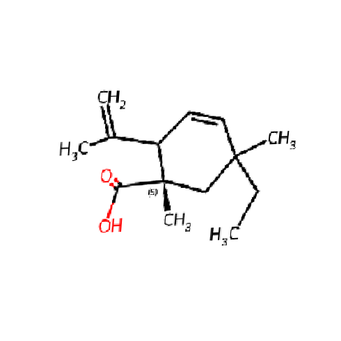 C=C(C)C1C=CC(C)(CC)C[C@]1(C)C(=O)O